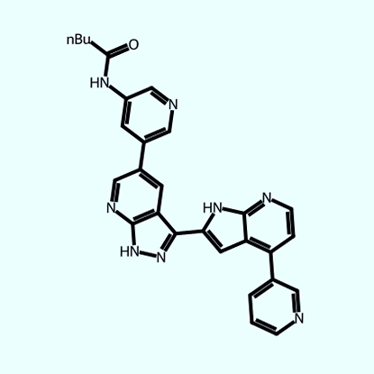 CCCCC(=O)Nc1cncc(-c2cnc3[nH]nc(-c4cc5c(-c6cccnc6)ccnc5[nH]4)c3c2)c1